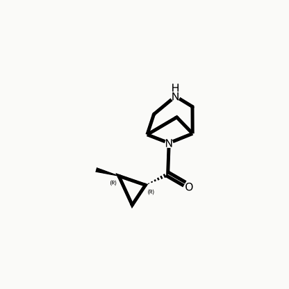 C[C@@H]1C[C@H]1C(=O)N1C2CNCC1C2